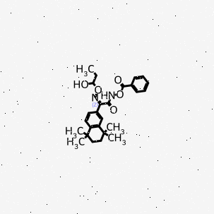 CCC(O)O/N=C(\C(=O)NOC(=O)c1ccccc1)c1ccc2c(c1)C(C)(C)CCC2(C)C